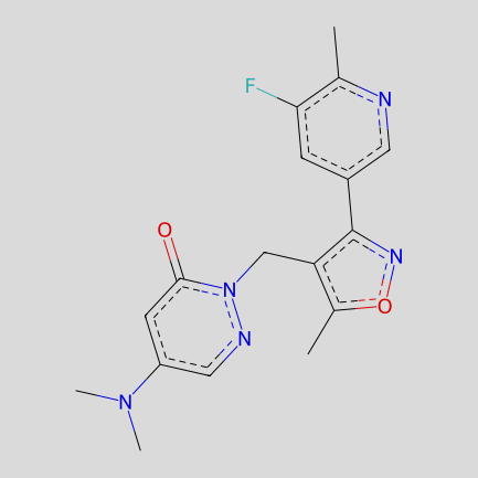 Cc1ncc(-c2noc(C)c2Cn2ncc(N(C)C)cc2=O)cc1F